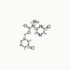 CC(C)(C)N(C(=O)OCc1cccc(Cl)c1)c1cncc(Cl)n1